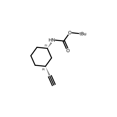 C#C[C@@H]1CCC[C@H](NC(=O)OC(C)(C)C)C1